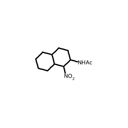 CC(=O)NC1CCC2CCCCC2C1[N+](=O)[O-]